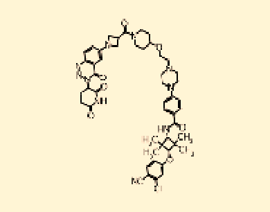 CC1(C)[C@H](NC(=O)c2ccc(N3CCN(CCOC4CCN(C(=O)C5CN(c6ccc7nnn(C8CCC(=O)NC8=O)c(=O)c7c6)C5)CC4)CC3)cc2)C(C)(C)[C@H]1Oc1ccc(C#N)c(Cl)c1